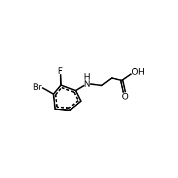 O=C(O)CCNc1cccc(Br)c1F